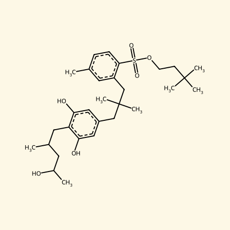 Cc1ccc(S(=O)(=O)OCCC(C)(C)C)c(CC(C)(C)Cc2cc(O)c(CC(C)CC(C)O)c(O)c2)c1